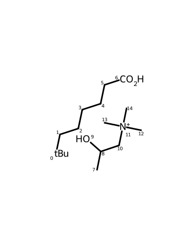 CC(C)(C)CCCCCC(=O)O.CC(O)C[N+](C)(C)C